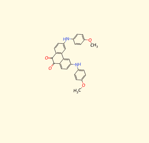 COc1ccc(Nc2ccc3c(c2)-c2cc(Nc4ccc(OC)cc4)ccc2C(=O)C3=O)cc1